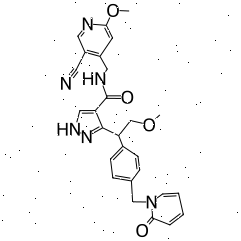 COCC(c1ccc(Cn2ccccc2=O)cc1)c1n[nH]cc1C(=O)NCc1cc(OC)ncc1C#N